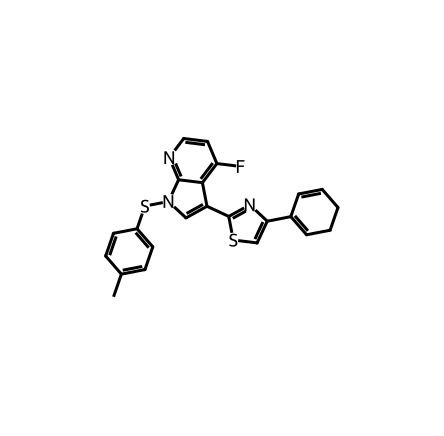 Cc1ccc(Sn2cc(-c3nc(C4=CCCC=C4)cs3)c3c(F)ccnc32)cc1